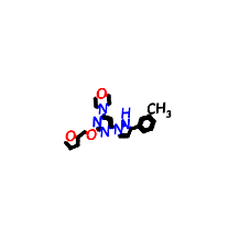 Cc1cccc(C2C=CN(c3cc(N4CCOCC4)nc(OCC4CCCO4)n3)N2)c1